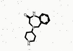 O=C1CN(C2CCNCC2)Cc2ccccc2N1